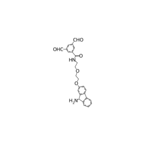 NC1c2ccccc2-c2ccc(OCCOCCNC(=O)c3cc(C=O)cc(C=O)c3)cc21